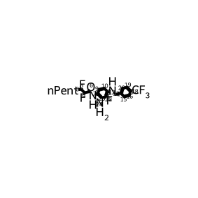 CCCCCC(F)C(F)C(=O)Nc1ccc(NCc2ccc(C(F)(F)F)cc2)c(F)c1N